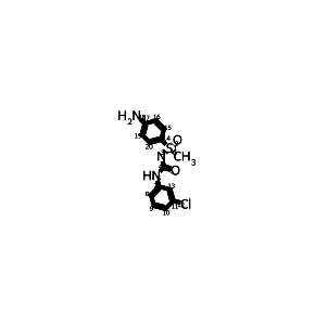 CS(=O)(=NC(=O)Nc1cccc(Cl)c1)c1ccc(N)cc1